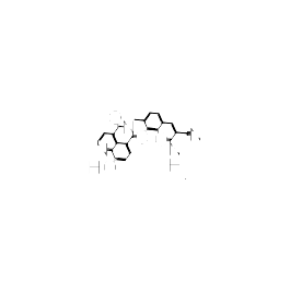 N#CC(=Cc1ccc(CN2C(=O)c3ccnc4c(O)ccc(c34)C2=O)cc1)C(N)=O